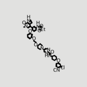 CCS(=O)(=O)Nc1ccc(Oc2cccc(OCCOC3CCN(c4cnc(C(=O)NC5CCC(Oc6ccc(C#N)c(Cl)c6)CC5)nc4)CC3)c2)c(-c2cn(C)c(=O)c3[nH]ccc23)c1